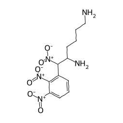 NCCCCC(N)C(c1cccc([N+](=O)[O-])c1[N+](=O)[O-])[N+](=O)[O-]